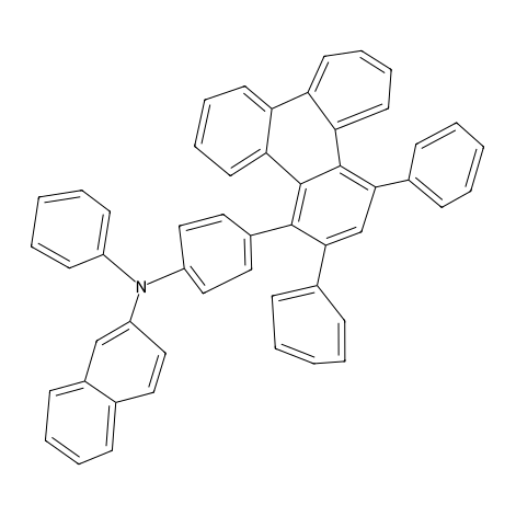 c1ccc(-c2cc(-c3ccccc3)c3c4ccccc4c4ccccc4c3c2-c2ccc(N(c3ccccc3)c3ccc4ccccc4c3)cc2)cc1